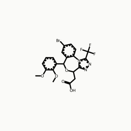 COc1cccc(C2OC(CC(=O)O)c3nnc(C(F)(F)F)n3-c3ccc(Br)cc32)c1OC